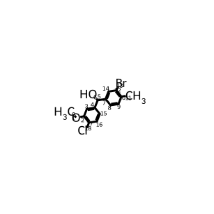 COc1cc(C(O)c2ccc(C)c(Br)c2)ccc1Cl